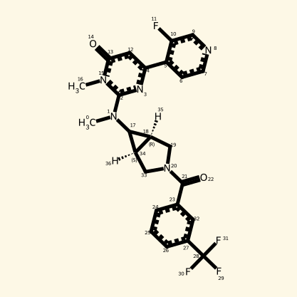 CN(c1nc(-c2ccncc2F)cc(=O)n1C)C1[C@H]2CN(C(=O)c3cccc(C(F)(F)F)c3)C[C@@H]12